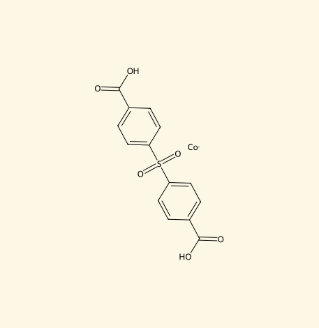 O=C(O)c1ccc(S(=O)(=O)c2ccc(C(=O)O)cc2)cc1.[Co]